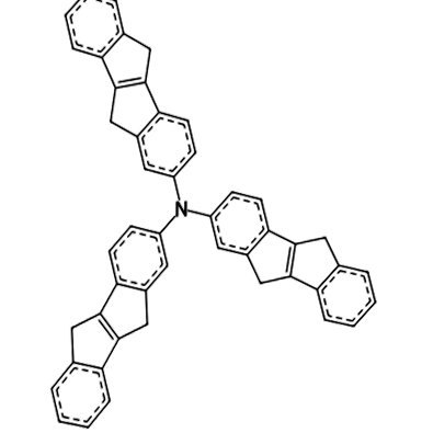 c1ccc2c(c1)CC1=C2Cc2cc(N(c3ccc4c(c3)CC3=C4Cc4ccccc43)c3ccc4c(c3)CC3=C4Cc4ccccc43)ccc21